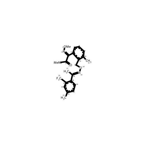 CNC(=O)/C(=N/OC)c1cccc(C)c1CO/N=C(\C)c1ccc(C)cc1C(F)(F)F